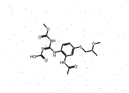 COC(=O)N/C(=N/C(=O)O)Nc1ccc(SCC(C)OC)cc1NC(C)=O